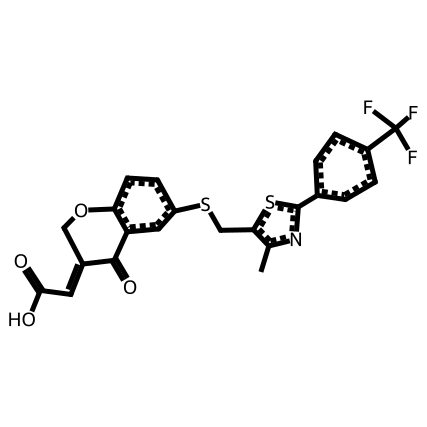 Cc1nc(-c2ccc(C(F)(F)F)cc2)sc1CSc1ccc2c(c1)C(=O)C(=CC(=O)O)CO2